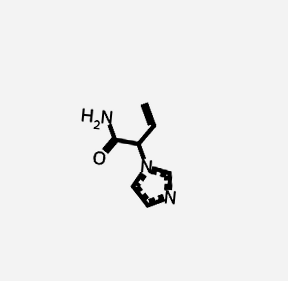 C=CC(C(N)=O)n1ccnc1